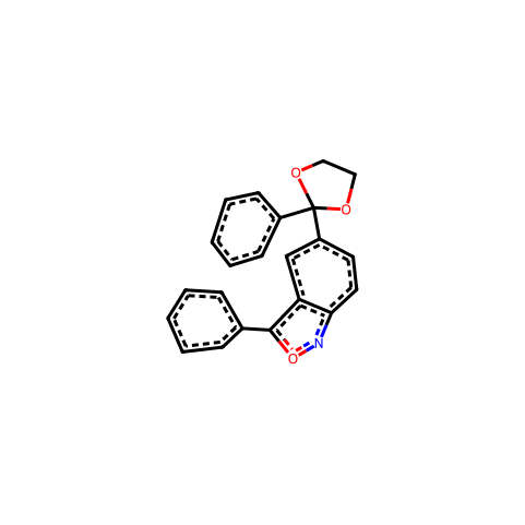 c1ccc(-c2onc3ccc(C4(c5ccccc5)OCCO4)cc23)cc1